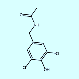 CC(=O)NCc1cc(Cl)c(O)c(Cl)c1